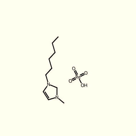 CCCCCCN1C=CN(C)C1.[O]=[Re](=[O])(=[O])[OH]